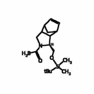 BC(=O)N1CC2C3C=CC(C3)C2[C@H]1CO[Si](C)(C)C(C)(C)C